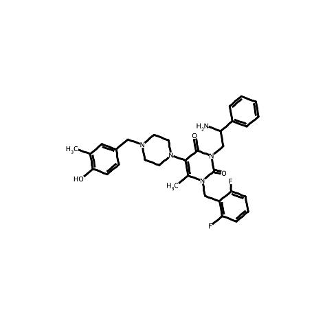 Cc1cc(CN2CCN(c3c(C)n(Cc4c(F)cccc4F)c(=O)n(CC(N)c4ccccc4)c3=O)CC2)ccc1O